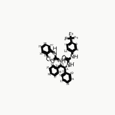 O=C(Nc1ccc(C(F)(F)F)cc1)N[C@@H](c1ccccc1)[C@@H](NC(=O)Nc1ccccc1Cl)c1ccccc1